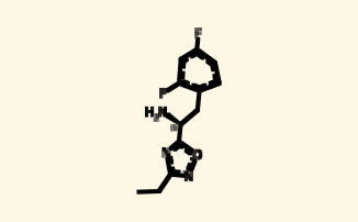 CCc1noc([C@@H](N)Cc2ccc(F)cc2F)n1